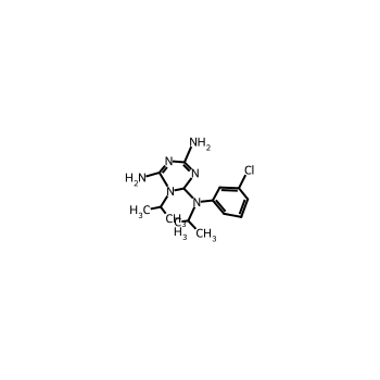 CC(C)N1C(N)=NC(N)=NC1N(c1cccc(Cl)c1)C(C)C